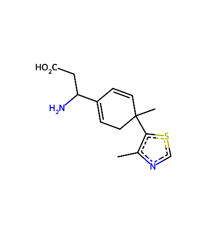 Cc1ncsc1C1(C)C=CC(C(N)CC(=O)O)=CC1